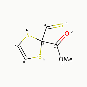 COC(=O)C1(C=S)SC=CS1